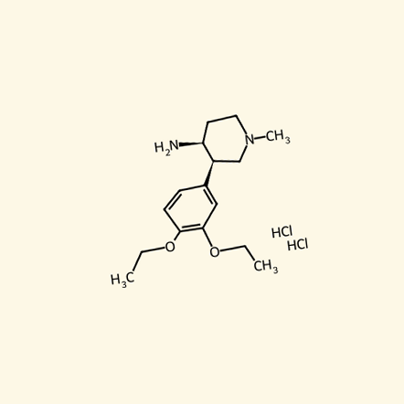 CCOc1ccc([C@@H]2CN(C)CC[C@@H]2N)cc1OCC.Cl.Cl